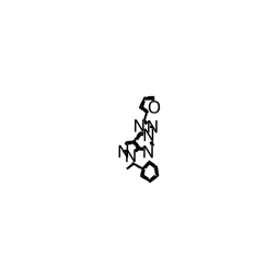 CC(c1ccccc1)n1ncc2c1ncn1nc(-c3ccco3)nc21